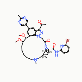 COC1CCCCCN(C)C[C@@]2(C)C[C@@H](C(=O)Nc3cccc(Br)n3)N(C(=O)Cn3nc(C(C)=O)c4cc(-c5cnc(C)nc5)cc(c43)C1OC)[C@@H]2C